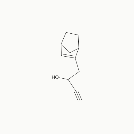 C#CC(O)CC1=CC2CCC1C2